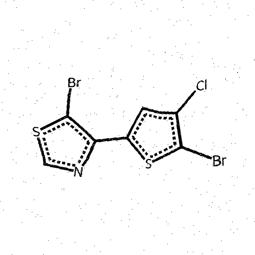 Clc1cc(-c2ncsc2Br)sc1Br